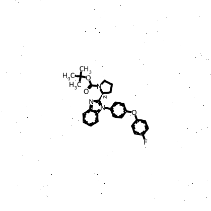 CC(C)(C)OC(=O)N1CCC[C@H]1c1nc2ccccc2n1-c1ccc(Oc2ccc(F)cc2)cc1